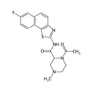 CC(=O)N1CCN(C)CC1C(=O)Nc1nc2ccc3cc(F)ccc3c2s1